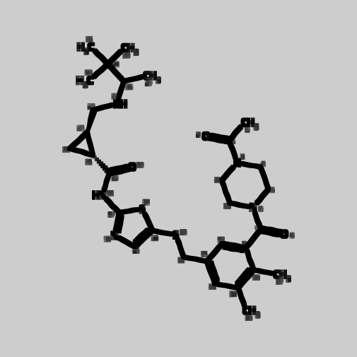 CC(=O)N1CCN(C(=O)c2cc(CSc3cnc(NC(=O)[C@@H]4C[C@H]4CNC(C)C(C)(C)C)s3)cc(C)c2C)CC1